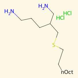 CCCCCCCCCCSCC(CN)CCCN.Cl.Cl